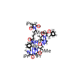 CC[C@H](C)[C@@H]([C@@H](CC(=O)N1CCC[C@H]1[C@H](OC)[C@@H](C)C(=O)N[C@@H](Cc1ccccc1)C(=O)OC)OC)N(C)C(=O)[C@@H](NC(=O)[C@H](C(C)C)N(C)Cc1cccc(NC(=O)CCCCCN2C(=O)CC(C(C)C)C2=O)c1)C(C)C